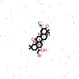 [C-]#[N+]C1=C[C@]2(C)[C@H]3CC(=O)[C@@H]4[C@@H]5CC(C)(C)CC[C@]5(C(O)CBr)CC[C@@]4(C)[C@]3(C)CC[C@H]2C(C)(C)C1=O